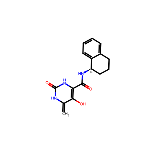 C=C1NC(=O)NC(C(=O)N[C@@H]2CCCc3ccccc32)=C1O